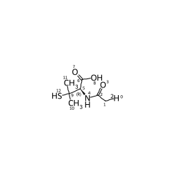 [2H]CC(=O)N[C@H](C(=O)O)C(C)(C)S